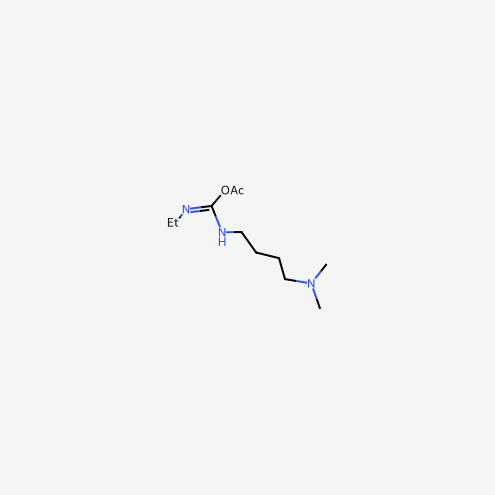 CCN=C(NCCCCN(C)C)OC(C)=O